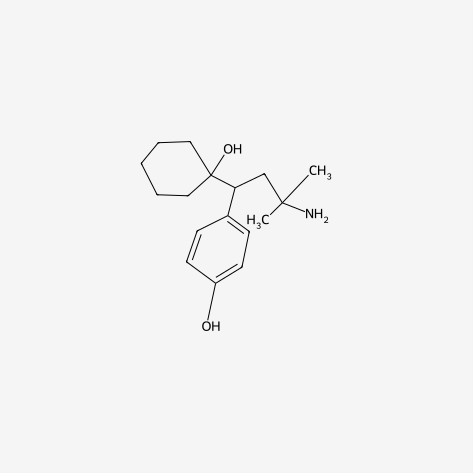 CC(C)(N)CC(c1ccc(O)cc1)C1(O)CCCCC1